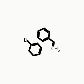 C=Cc1ccccc1.[Li][C]1=CC=CCC1